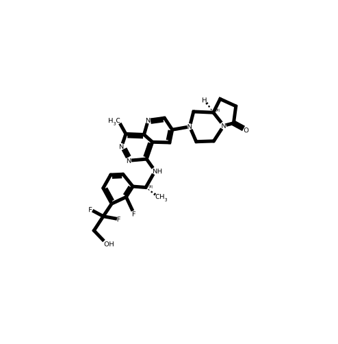 Cc1nnc(N[C@H](C)c2cccc(C(F)(F)CO)c2F)c2cc(N3CCN4C(=O)CC[C@@H]4C3)cnc12